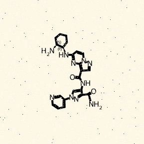 NC(=O)c1nn(-c2cccnc2)cc1NC(=O)c1cnn2ccc(N[C@@H]3CCCC[C@@H]3N)nc12